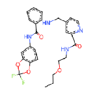 CCCOCCNC(=O)c1cc(CNc2ccccc2C(=O)Nc2ccc3c(c2)OC(F)(F)O3)ccn1